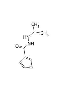 CC(C)NNC(=O)c1ccoc1